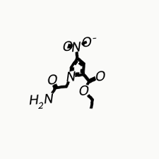 CCOC(=O)c1cc([N+](=O)[O-])cn1CC(N)=O